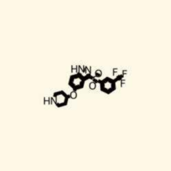 O=S(=O)(c1cccc(C(F)(F)F)c1)c1n[nH]c2ccc(OC3CCNCC3)cc12